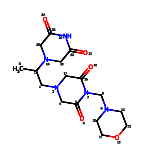 CC(CN1CC(=O)N(CN2CCOCC2)C(=O)C1)N1CC(=O)NC(=O)C1